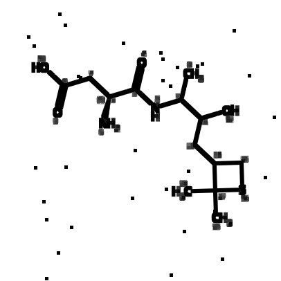 CC(NC(=O)[C@@H](N)CC(=O)O)C(O)CC1CSC1(C)C